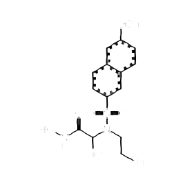 CC(C)CCN(C(C(=O)NO)C(C)C)S(=O)(=O)c1ccc2cc(OCC(C)C)ccc2c1